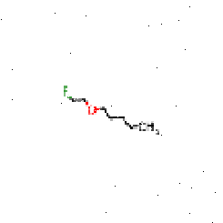 CCCCCOCCF